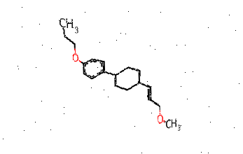 CCCOc1ccc(C2CCC(/C=C/COC)CC2)cc1